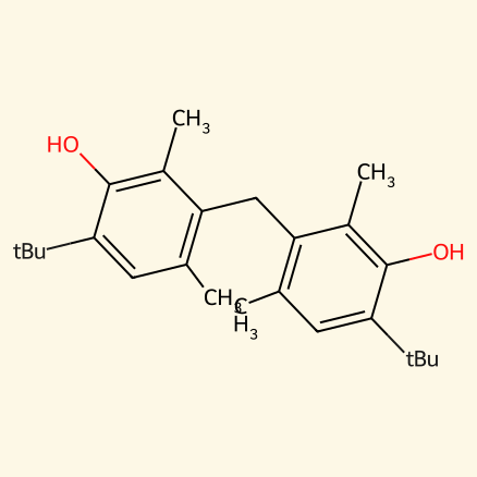 Cc1cc(C(C)(C)C)c(O)c(C)c1Cc1c(C)cc(C(C)(C)C)c(O)c1C